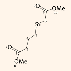 COC(=O)CCCSCC(=O)OC